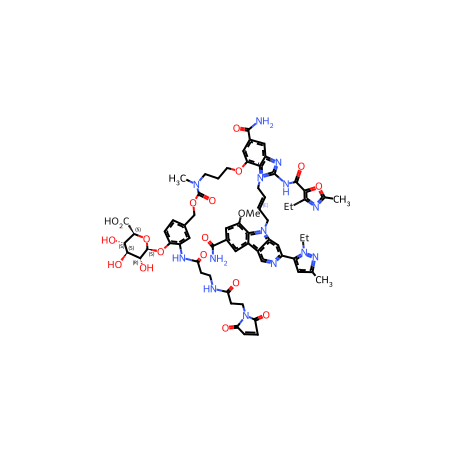 CCc1nc(C)oc1C(=O)Nc1nc2cc(C(N)=O)cc(OCCCN(C)C(=O)OCc3ccc(O[C@@H]4O[C@H](C(=O)O)[C@@H](O)[C@H](O)[C@H]4O)c(NC(=O)CCNC(=O)CCN4C(=O)C=CC4=O)c3)c2n1C/C=C/Cn1c2cc(-c3cc(C)nn3CC)ncc2c2cc(C(N)=O)cc(OC)c21